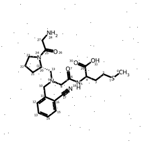 CSCCC(NC(=O)CN(Cc1ccccc1C#N)C[C@@H]1CCCN1C(=O)CN)C(=O)O